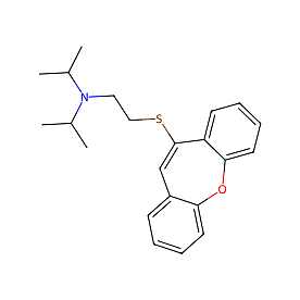 CC(C)N(CCSC1=Cc2ccccc2Oc2ccccc21)C(C)C